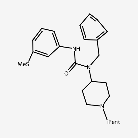 CCCC(C)N1CCC(N(Cc2ccccc2)C(=O)Nc2cccc(SC)c2)CC1